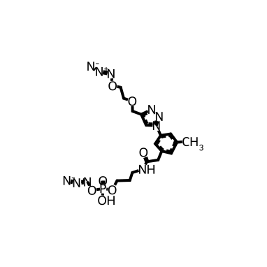 Cc1cc(CC(=O)NCCCOP(=O)(O)ON=[N+]=[N-])cc(-n2cc(COCCON=[N+]=[N-])nn2)c1